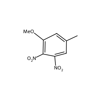 COc1cc(C)cc([N+](=O)[O-])c1[N+](=O)[O-]